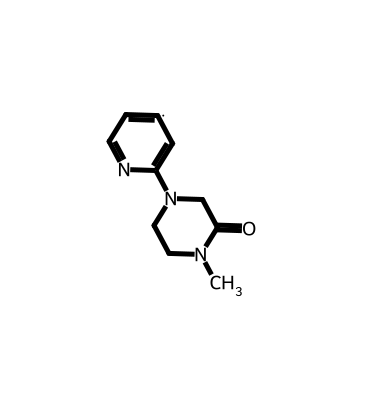 CN1CCN(c2c[c]ccn2)CC1=O